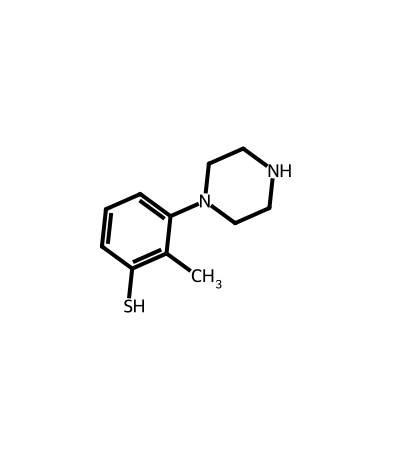 Cc1c(S)cccc1N1CCNCC1